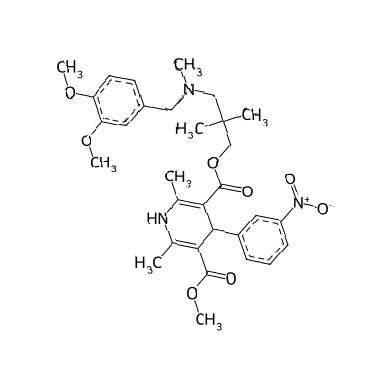 COC(=O)C1=C(C)NC(C)=C(C(=O)OCC(C)(C)CN(C)Cc2ccc(OC)c(OC)c2)C1c1cccc([N+](=O)[O-])c1